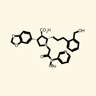 CCCCN(C(=O)CN1C[C@H](c2ccc3c(c2)OCO3)[C@@H](C(=O)O)[C@@H]1CCCc1ccccc1CO)c1cccnc1